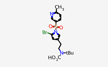 Cc1ccc(S(=O)(=O)n2cc(CCN(C(=O)O)C(C)(C)C)cc2Br)cn1